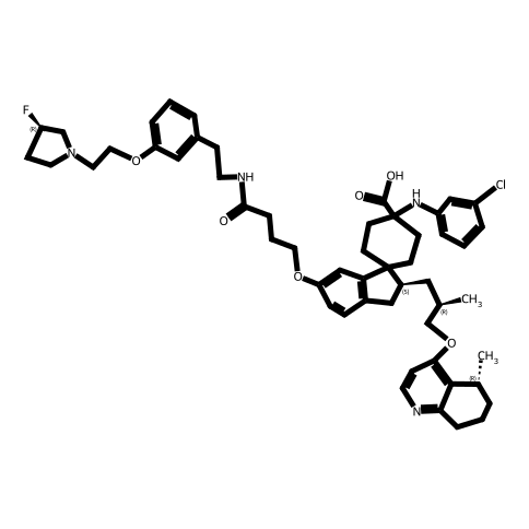 C[C@@H](COc1ccnc2c1[C@H](C)CCC2)C[C@H]1Cc2ccc(OCCCC(=O)NCCc3cccc(OCCN4CC[C@@H](F)C4)c3)cc2C12CCC(Nc1cccc(Cl)c1)(C(=O)O)CC2